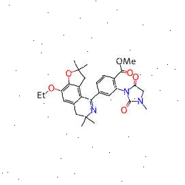 CCOc1cc2c(c3c1OC(C)(C)C3)C(c1ccc(C(=O)OC)c(N3C(=O)CN(C)C3=O)c1)=NC(C)(C)C2